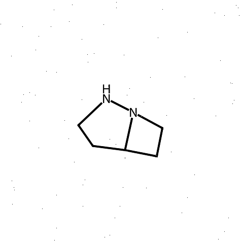 C1CC2CCN2N1